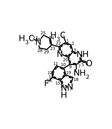 Cc1cc2[nH]c(=O)c(N)c(-c3ccc(F)c4[nH]ncc34)c2nc1C1=CCN(C)CC1